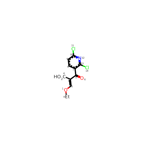 CCO/C=C(\C(=O)O)C(=O)c1ccc(Cl)nc1Cl